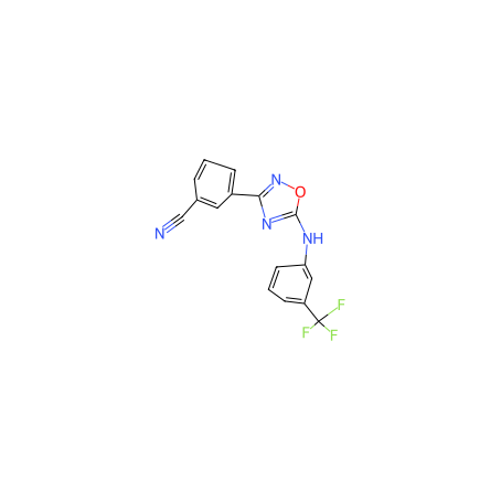 N#Cc1cccc(-c2noc(Nc3cccc(C(F)(F)F)c3)n2)c1